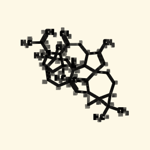 C=C1CC2C(C)=CC34CCC5C(C)(C)C56CC6(C=C5CC=CC(C)(C)CC5C23NC2(C)CCN(C(=C)C)C12)C4=C